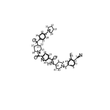 N#Cc1ccc(CN2CCC(NC(=O)c3ccc(C(=O)N4CCC(C(=O)c5ccc(N6CCCC6)cc5)CC4)nc3)CC2)cc1F